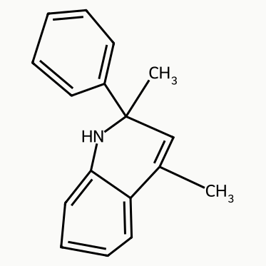 CC1=CC(C)(c2ccccc2)Nc2ccccc21